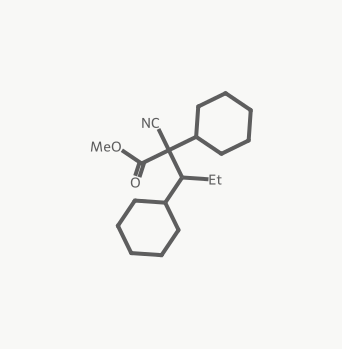 CCC(C1CCCCC1)C(C#N)(C(=O)OC)C1CCCCC1